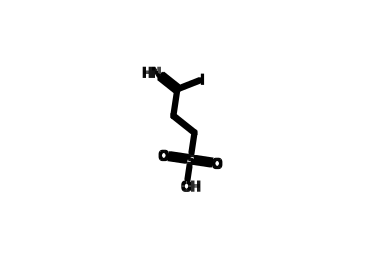 N=C(I)CCS(=O)(=O)O